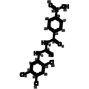 O=C(NC(=S)Nc1cc(Cl)c(Cl)cc1Cl)c1ccc([N+](=O)O)cc1